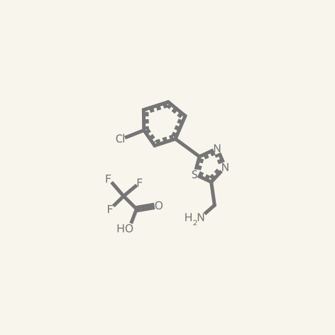 NCc1nnc(-c2cccc(Cl)c2)s1.O=C(O)C(F)(F)F